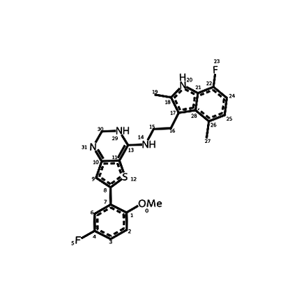 COc1ccc(F)cc1-c1cc2c(s1)=C(NCCc1c(C)[nH]c3c(F)ccc(C)c13)NCN=2